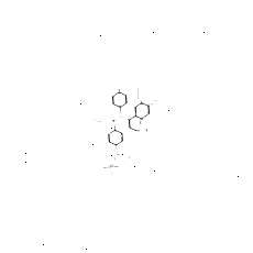 CCC[C@H](c1ccc(C(=O)OC(C)(C)C)cc1)C(c1ccc(Cl)cc1)c1ccnc2cc(F)c(F)cc12